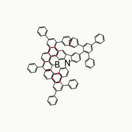 c1ccc(-c2cc(-c3ccccc3)c(B3c4cc(-c5c(-c6ccccc6)cc(-c6ccccc6)cc5-c5ccccc5)ccc4-n4c5ccc(-c6c(-c7ccccc7)cc(-c7ccccc7)cc6-c6ccccc6)cc5c5cc(-c6c(-c7ccccc7)cc(-c7ccccc7)cc6-c6ccccc6)cc3c54)c(-c3ccccc3)c2)cc1